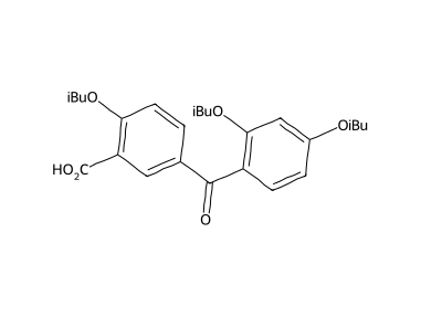 CC(C)COc1ccc(C(=O)c2ccc(OCC(C)C)c(C(=O)O)c2)c(OCC(C)C)c1